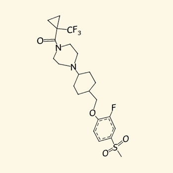 CS(=O)(=O)c1ccc(OCC2CCC(N3CCN(C(=O)C4(C(F)(F)F)CC4)CC3)CC2)c(F)c1